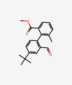 COC(=S)c1cccc(C)c1-c1ccc(C(C)(C)C)cc1C=O